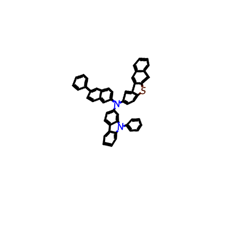 c1ccc(-c2ccc3cc(N(c4ccc5sc6cc7ccccc7cc6c5c4)c4ccc5c6ccccc6n(-c6ccccc6)c5c4)ccc3c2)cc1